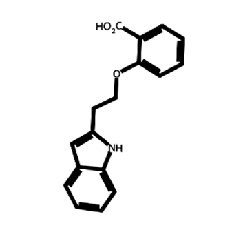 O=C(O)c1ccccc1OCCc1cc2ccccc2[nH]1